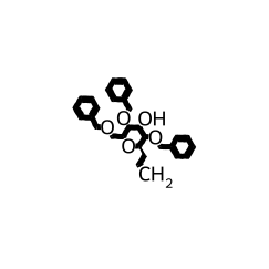 C=CC[C@H]1OC(COCc2ccccc2)[C@@H](OCc2ccccc2)C(O)C1OCc1ccccc1